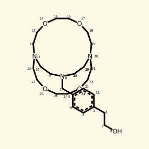 OCCc1ccc(CN2CCN3CCOCCOCCN(CCOCCOCC3)CC2)cc1